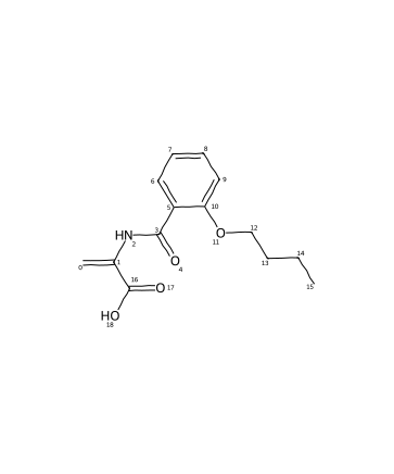 C=C(NC(=O)c1ccccc1OCCCC)C(=O)O